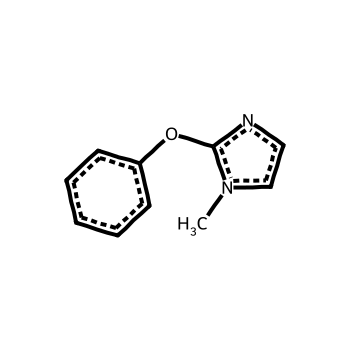 Cn1ccnc1Oc1ccccc1